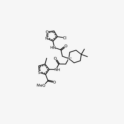 COC(=O)c1scc(C)c1NC(=O)C[N+]1(CC(=O)Nc2nocc2Cl)CCC(C)(C)CC1